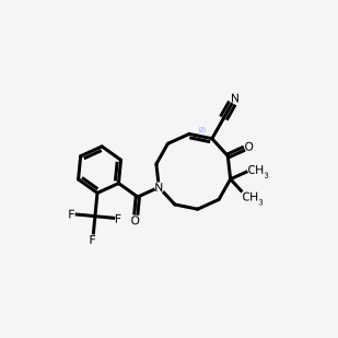 CC1(C)CCCN(C(=O)c2ccccc2C(F)(F)F)CC/C=C(/C#N)C1=O